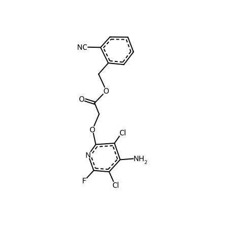 N#Cc1ccccc1COC(=O)COc1nc(F)c(Cl)c(N)c1Cl